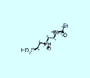 CCC(=O)NCC[PH](=O)CCC(=O)O